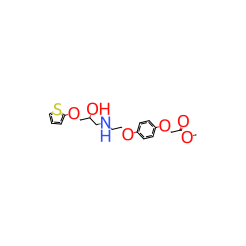 COC(=O)COc1ccc(OCCNCC(O)COc2cccs2)cc1